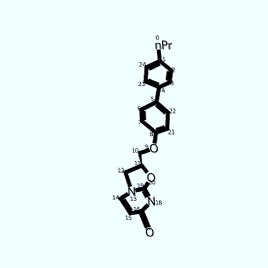 CCCc1ccc(-c2ccc(OC[C@@H]3Cn4ccc(=O)nc4O3)cc2)cc1